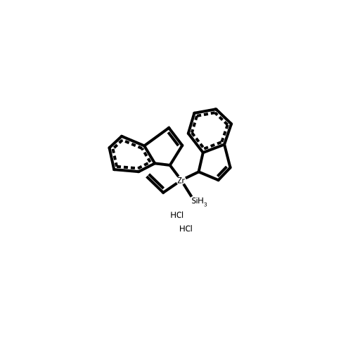 C=[CH][Zr]([SiH3])([CH]1C=Cc2ccccc21)[CH]1C=Cc2ccccc21.Cl.Cl